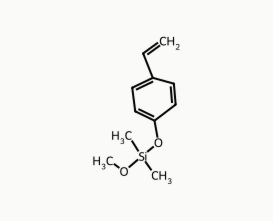 C=Cc1ccc(O[Si](C)(C)OC)cc1